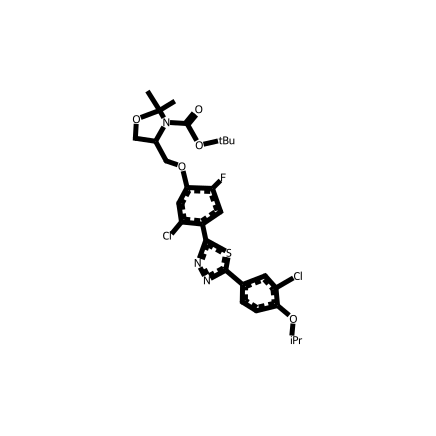 CC(C)Oc1ccc(-c2nnc(-c3cc(F)c(OCC4COC(C)(C)N4C(=O)OC(C)(C)C)cc3Cl)s2)cc1Cl